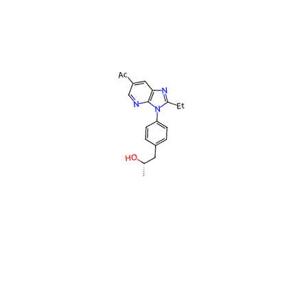 CCc1nc2cc(C(C)=O)cnc2n1-c1ccc(C[C@H](C)O)cc1